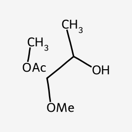 COC(C)=O.COCC(C)O